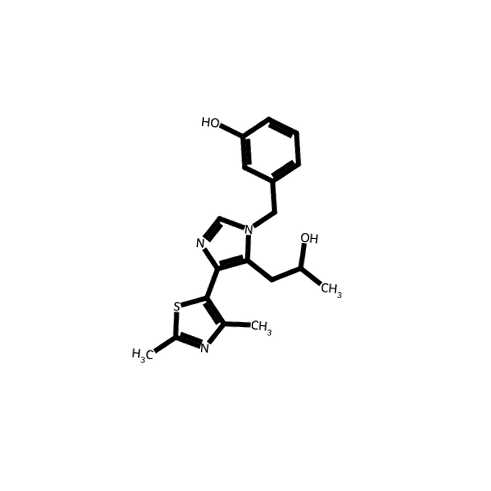 Cc1nc(C)c(-c2ncn(Cc3cccc(O)c3)c2CC(C)O)s1